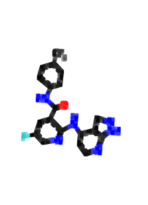 O=C(Nc1ccc(C(F)(F)F)cc1)c1cc(F)cnc1Nc1ccnc2[nH]ncc12